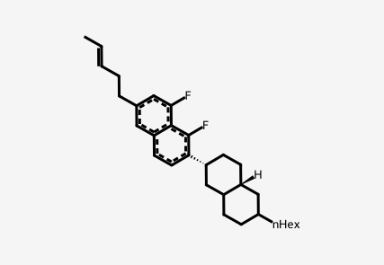 C/C=C/CCc1cc(F)c2c(F)c([C@@H]3CC[C@@H]4CC(CCCCCC)CCC4C3)ccc2c1